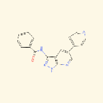 O=C(Nc1n[nH]c2ncc(-c3ccncc3)cc12)c1ccccc1